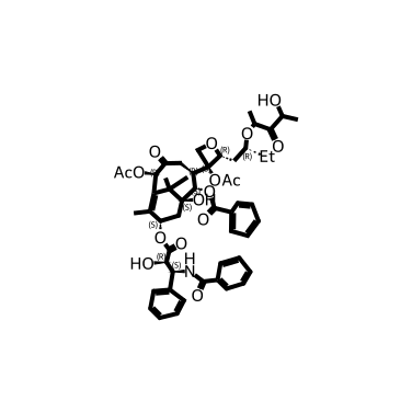 CC[C@H](C[C@H]1OC[C@@]1(OC(C)=O)[C@@H]1CC(=O)[C@H](OC(C)=O)C2=C(C)[C@@H](OC(=O)[C@H](O)[C@@H](NC(=O)c3ccccc3)c3ccccc3)C[C@@](O)([C@H]1OC(=O)c1ccccc1)C2(C)C)OC(C)C(=O)C(C)O